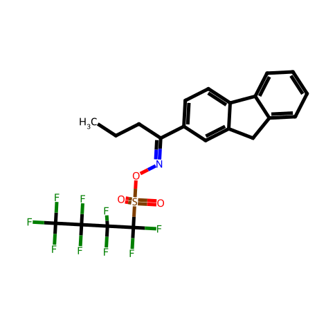 CCCC(=NOS(=O)(=O)C(F)(F)C(F)(F)C(F)(F)C(F)(F)F)c1ccc2c(c1)Cc1ccccc1-2